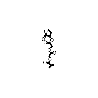 C=C(C)C(=O)OCC(=O)OCC(=O)OC1CCOC1=O